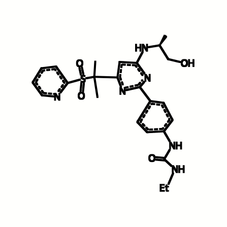 CCNC(=O)Nc1ccc(-c2nc(N[C@@H](C)CO)cc(C(C)(C)S(=O)(=O)c3ccccn3)n2)cc1